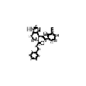 O=C(CCc1ccccc1)N1CCc2[nH]cnc2[C@H]1c1cc2cccc(F)c2o1